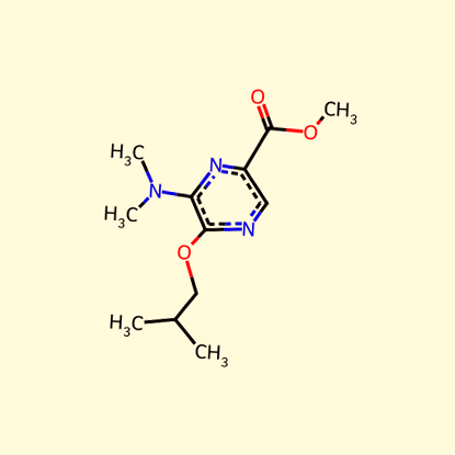 COC(=O)c1cnc(OCC(C)C)c(N(C)C)n1